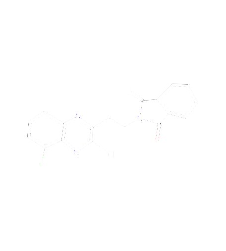 O=C1c2ccccc2C(=O)N1CCc1nc2cccc(Cl)c2nc1Cl